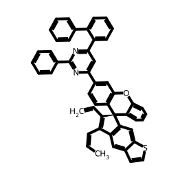 C=CC1=C(/C=C\C)c2cc3ccsc3cc2[C@]12c1ccccc1Oc1cc(-c3cc(-c4ccccc4-c4ccccc4)nc(-c4ccccc4)n3)ccc12